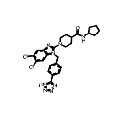 O=C(NC1CCCC1)C1CCN(c2nc3cc(Cl)c(Cl)cc3n2Cc2ccc(-c3nnn[nH]3)cc2)CC1